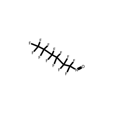 O=NC(F)(F)C(F)(F)C(F)(F)C(F)(F)C(F)(F)C(F)(F)F